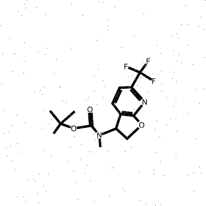 CN(C(=O)OC(C)(C)C)C1COc2nc(C(F)(F)F)ccc21